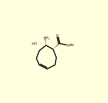 COC(=O)[C@@H]1CC/C=C\CC[C@@H]1N.Cl